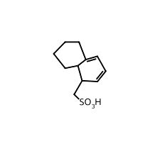 O=S(=O)(O)CC1C=CC=C2CCCCC21